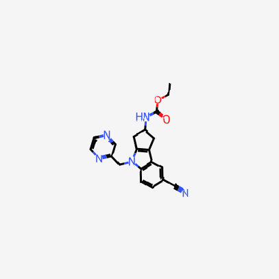 CCOC(=O)NC1Cc2c(n(Cc3cnccn3)c3ccc(C#N)cc23)C1